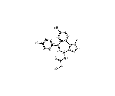 Cc1nnc2n1-c1ccc(O)cc1C(c1ccc(Cl)cc1)=N[C@H]2NC(=O)CC(C)C